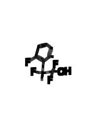 CC(F)(c1[c]cccc1F)C(O)(F)F